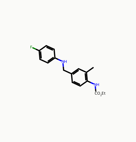 CCOC(=O)Nc1ccc(CNc2ccc(F)cc2)cc1C